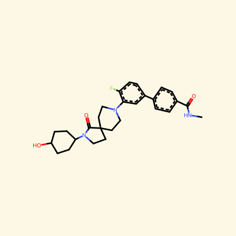 CNC(=O)c1ccc(-c2ccc(F)c(N3CCC4(CC3)CCN(C3CCC(O)CC3)C4=O)c2)cc1